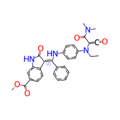 CCN(C(=C=O)C(=O)N(C)C)c1ccc(N/C(=C2\C(=O)Nc3cc(C(=O)OC)ccc32)c2ccccc2)cc1